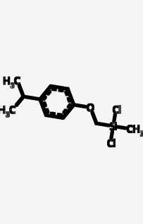 CC(C)c1ccc(OC[Si](C)(Cl)Cl)cc1